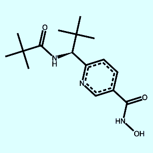 CC(C)(C)C(=O)N[C@H](c1ccc(C(=O)NO)cn1)C(C)(C)C